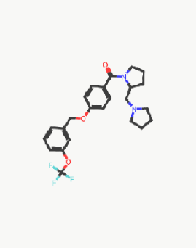 O=C(c1ccc(OCc2cccc(OC(F)(F)F)c2)cc1)N1CCCC1CN1CCCC1